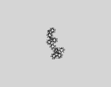 c1ccc(-c2nc(-c3ccc(-c4cccc5c4c4ccccc4n5-c4ccc5sc6ccccc6c5c4)cc3)cc(-c3ccccc3-c3ccccc3)n2)cc1